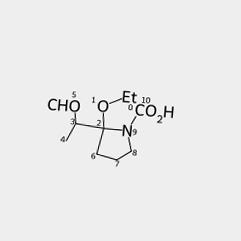 CCOC1(C(C)C=O)CCCN1C(=O)O